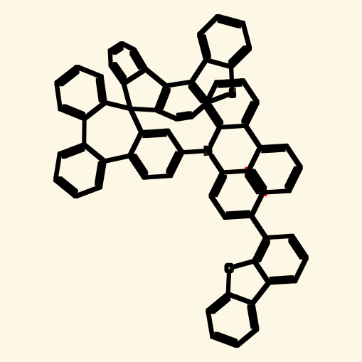 c1ccc(-c2ccccc2N(c2ccc(-c3cccc4c3oc3ccccc34)cc2)c2ccc3c(c2)C2(c4ccccc4-c4ccccc4-3)c3ccccc3-c3c2ccc2sc4ccccc4c32)cc1